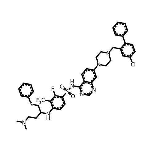 CN(C)CCC(CSc1ccccc1)Nc1ccc(S(=O)(=O)Nc2ncnc3cc(N4CCN(Cc5cc(Cl)ccc5-c5ccccc5)CC4)ccc23)c(F)c1C(F)(F)F